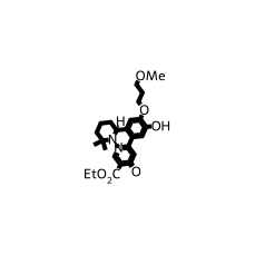 CCOC(=O)c1cn2c(cc1=O)-c1cc(O)c(OCCCOC)cc1[C@@H]1CCCC(C)(C)N12